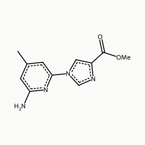 COC(=O)c1cn(-c2cc(C)cc(N)n2)cn1